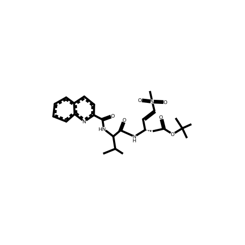 CC(C)C(NC(=O)c1ccc2ccccc2n1)C(=O)N[C@H](/C=C/S(C)(=O)=O)CC(=O)OC(C)(C)C